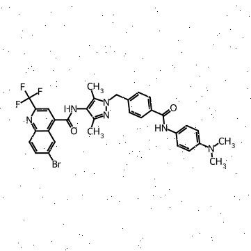 Cc1nn(Cc2ccc(C(=O)Nc3ccc(N(C)C)cc3)cc2)c(C)c1NC(=O)c1cc(C(F)(F)F)nc2ccc(Br)cc12